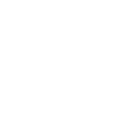 O=c1c2ccccc2c2cccc3c4cc5c(cc4n1c23)-c1ccccc1C51c2ccccc2-c2ccc(-c3ccccc3)cc21